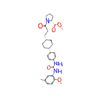 COC(=O)[C@H]1CCCN1C(=O)CC[C@H]1CC[C@@H](c2ccc(NC(=O)Nc3cc(C)ccc3OC)cc2)CC1